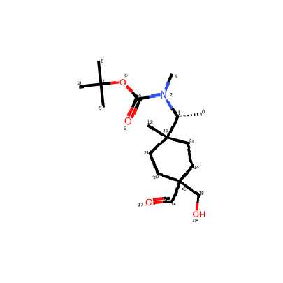 C[C@@H](N(C)C(=O)OC(C)(C)C)C1(C)CCC(C=O)(CO)CC1